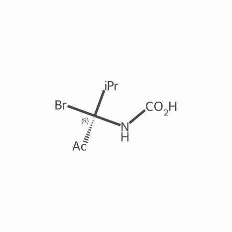 CC(=O)[C@@](Br)(NC(=O)O)C(C)C